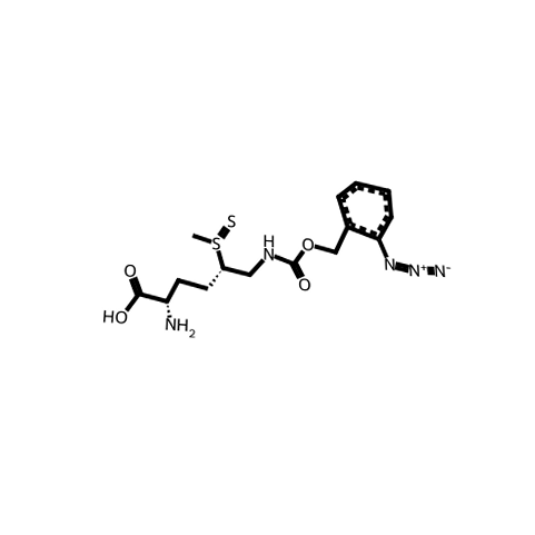 CS(=S)[C@@H](CC[C@H](N)C(=O)O)CNC(=O)OCc1ccccc1N=[N+]=[N-]